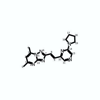 Cc1cc(C)n2nc(C=Cc3cncc(N4CCCC4)n3)nc2n1